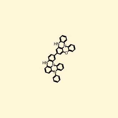 c1ccc(N2c3ccccc3N3c4cc(-c5cc6c7c(c5)Oc5ccccc5N7c5ccccc5N6)ccc4Nc4cccc2c43)cc1